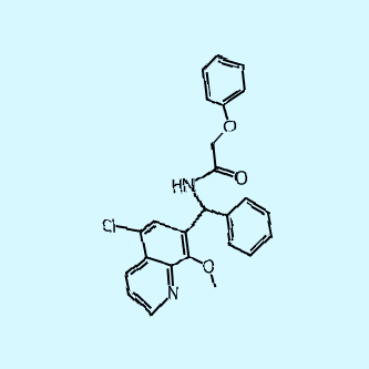 COc1c(C(NC(=O)COc2ccccc2)c2ccccc2)cc(Cl)c2cccnc12